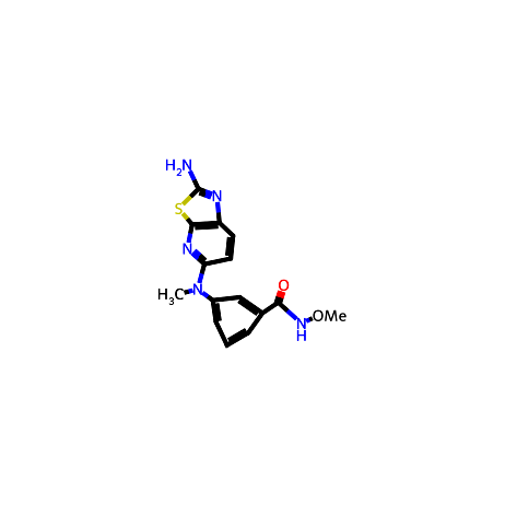 CONC(=O)c1cccc(N(C)c2ccc3nc(N)sc3n2)c1